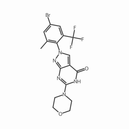 Cc1cc(Br)cc(C(F)(F)F)c1-n1cc2c(=O)[nH]c(N3CCOCC3)nc2n1